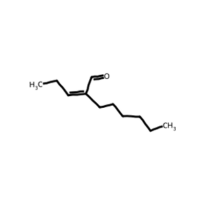 CCC=C(C=O)CCCCCC